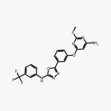 CSc1nc(N)cc(Oc2cccc(-c3nnc(Nc4cccc(C(F)(F)F)c4)o3)c2)n1